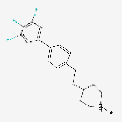 CCC[SiH]1CCC(CCc2ccc(-c3cc(F)c(F)c(F)c3)cc2)CC1